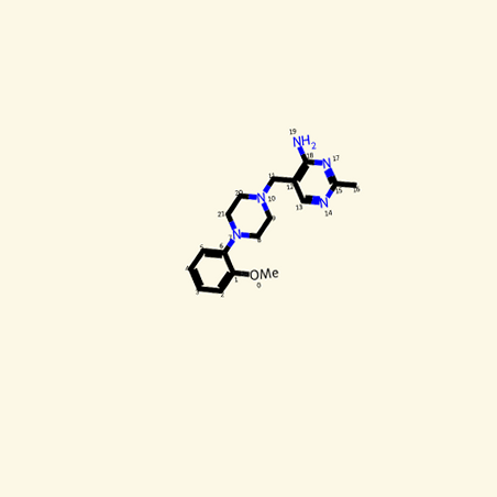 COc1ccccc1N1CCN(Cc2cnc(C)nc2N)CC1